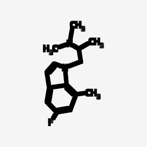 Cc1cc(F)cc2ccn(CC(C)N(C)C)c12